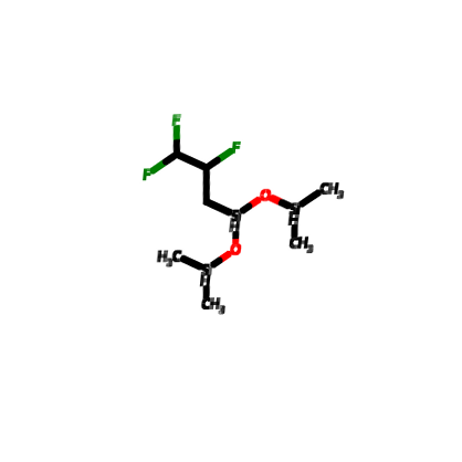 C[SiH](C)O[SiH](CC(F)C(F)F)O[SiH](C)C